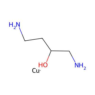 NCCC(O)CN.[Cu]